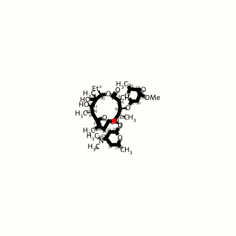 CC[C@H]1OC(=O)[C@H](C)[C@@H](OC2CC3(OC)OC3C(C)O2)[C@H](C)[C@@H](OC2CC(N(C)C)CC(C)O2)[C@@]2(C)CC(C)=C(O2)[C@H](C)[C@@H](O)[C@]1(C)O